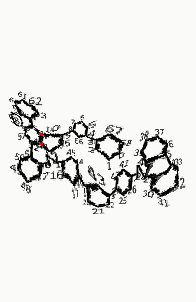 c1ccc(-c2cccc(-c3cccc(N(c4ccc(-c5cccc(-c6ccc(-n7c8ccccc8c8ccccc87)cc6)c5)cc4)c4ccccc4-c4ccc5c(c4)oc4ccccc45)c3)c2)cc1